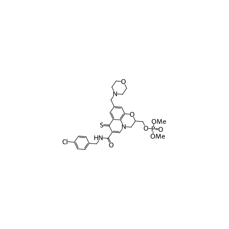 COP(=O)(OC)OCC1Cn2cc(C(=O)NCc3ccc(Cl)cc3)c(=S)c3cc(CN4CCOCC4)cc(c32)O1